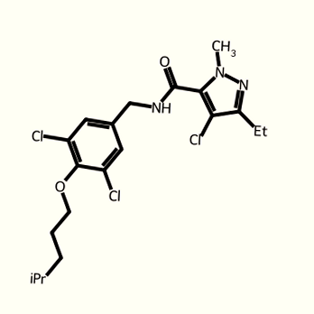 CCc1nn(C)c(C(=O)NCc2cc(Cl)c(OCCCC(C)C)c(Cl)c2)c1Cl